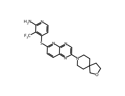 Nc1nccc(Sc2ccc3nc(N4CCC5(CCOC5)CC4)cnc3n2)c1C(F)(F)F